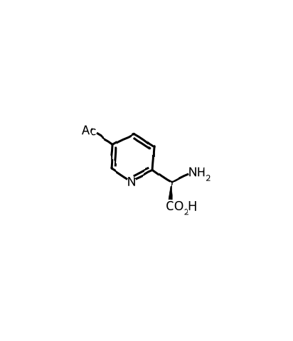 CC(=O)c1ccc([C@@H](N)C(=O)O)nc1